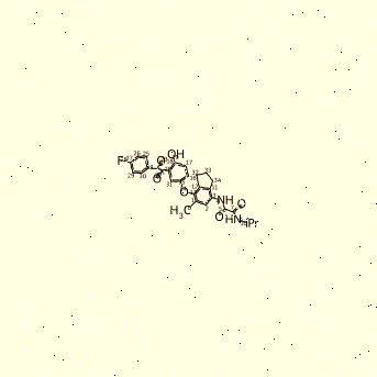 Cc1cc(NC(=O)C(=O)NC(C)C)c2c(c1Oc1ccc(O)c(S(=O)(=O)c3ccc(F)cc3)c1)CCC2